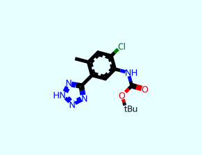 Cc1cc(Cl)c(NC(=O)OC(C)(C)C)cc1-c1nn[nH]n1